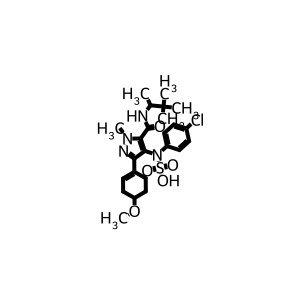 COC1CC=C(c2nn(C)c(C(=O)NC(C)C(C)(C)C)c2N(c2ccc(Cl)cc2)S(=O)(=O)O)CC1